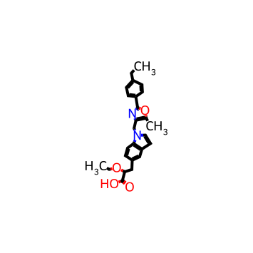 CCOC(Cc1ccc2c(ccn2Cc2nc(-c3ccc(CC)cc3)oc2C)c1)C(=O)O